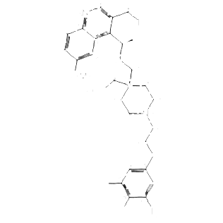 COc1ccc2ncc(CF)c([C@@H](O)CCC3(CC(=O)O)CCN(CCCc4cc(F)c(F)c(F)c4)CC3)c2c1